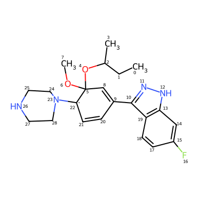 CCC(C)OC1(OC)C=C(c2n[nH]c3cc(F)ccc23)C=C[C]1N1CCNCC1